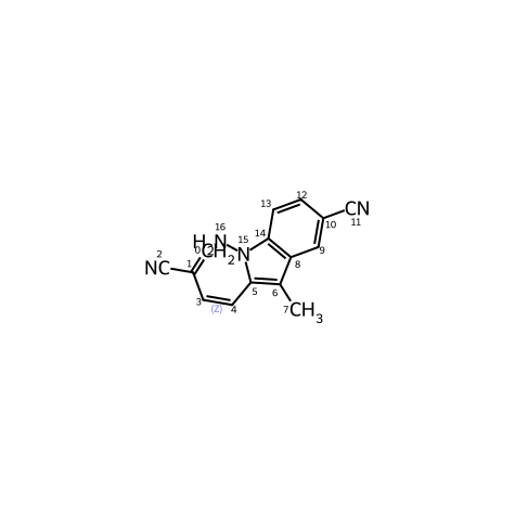 C=C(C#N)/C=C\c1c(C)c2cc(C#N)ccc2n1N